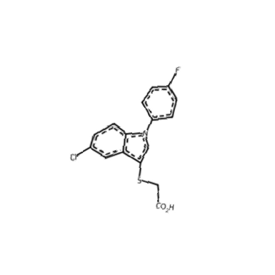 O=C(O)CSc1cn(-c2ccc(F)cc2)c2ccc(Cl)cc12